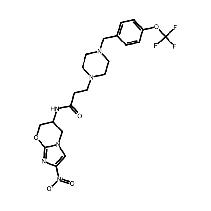 O=C(CCN1CCN(Cc2ccc(OC(F)(F)F)cc2)CC1)NC1COc2nc([N+](=O)[O-])cn2C1